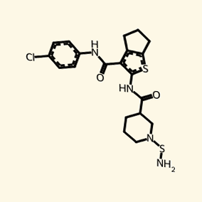 NSN1CCCC(C(=O)Nc2sc3c(c2C(=O)Nc2ccc(Cl)cc2)CCC3)C1